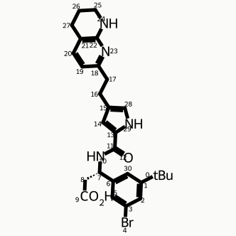 CC(C)(C)c1cc(Br)cc([C@H](CC(=O)O)NC(=O)c2cc(CCc3ccc4c(n3)NCCC4)c[nH]2)c1